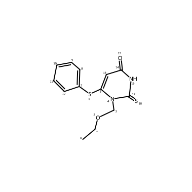 CCOCn1c(Sc2ccccc2)cc(=O)[nH]c1=S